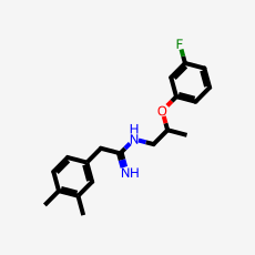 Cc1ccc(CC(=N)NCC(C)Oc2cccc(F)c2)cc1C